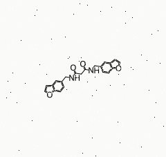 O=C(CC(=O)NCc1ccc2occc2c1)NCc1ccc2occc2c1